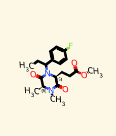 CCC(c1ccc(F)cc1)N1C(=O)[C@@H](C)N(C)C(=O)[C@@H]1CCC(=O)OC